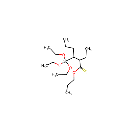 CCCOC(=S)C(CC)C(CCC)[Si](OCC)(OCC)OCC